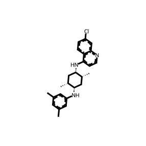 Cc1cc(C)cc(N[C@H]2C[C@@H](C)[C@@H](Nc3ccnc4cc(Cl)ccc34)C[C@H]2C)c1